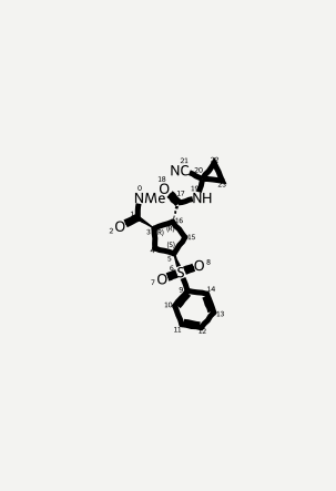 CNC(=O)[C@@H]1C[C@H](S(=O)(=O)c2ccccc2)C[C@H]1C(=O)NC1(C#N)CC1